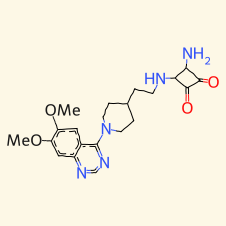 COc1cc2ncnc(N3CCC(CCNC4C(=O)C(=O)C4N)CC3)c2cc1OC